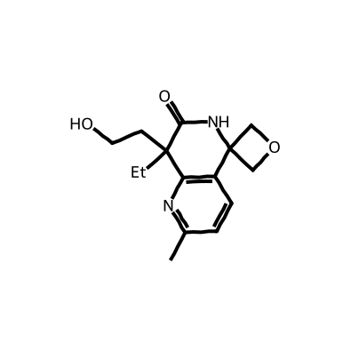 CCC1(CCO)C(=O)NC2(COC2)c2ccc(C)nc21